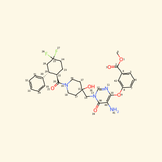 COC(=O)c1cccc(Oc2ncn(CC3(O)CCN(C(=O)[C@@H]4CCC(F)(F)C[C@H]4c4ccccc4)CC3)c(=O)c2N)c1